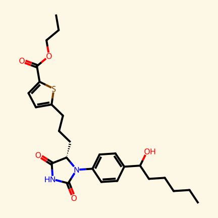 CCCCCC(O)c1ccc(N2C(=O)NC(=O)[C@@H]2CCCc2ccc(C(=O)OCCC)s2)cc1